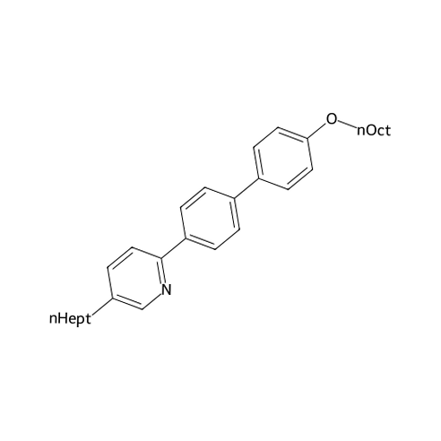 CCCCCCCCOc1ccc(-c2ccc(-c3ccc(CCCCCCC)cn3)cc2)cc1